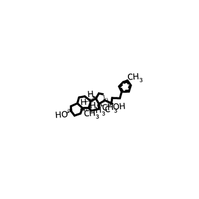 Cc1ccc(CC[C@@](C)(O)[C@H]2CC[C@H]3[C@@H]4CCC5C[C@@H](O)CC[C@]5(C)[C@H]4CC[C@@]32C)cc1